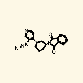 [N-]=[N+]=Nc1cnccc1[C@@H]1CCC[C@H](N2C(=O)c3ccccc3C2=O)C1